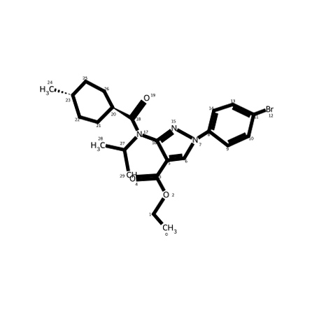 CCOC(=O)c1cn(-c2ccc(Br)cc2)nc1N(C(=O)[C@H]1CC[C@H](C)CC1)C(C)C